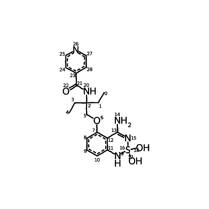 CCC(CC)(COc1cccc2c1C(N)=NS(O)(O)N2)NC(=O)c1ccncc1